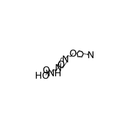 N#Cc1ccc(OCCN2CC3CN(CCNC(=O)O)CC(C2)O3)cc1